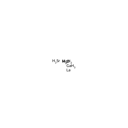 O.[GaH3].[La].[MgH2].[SrH2]